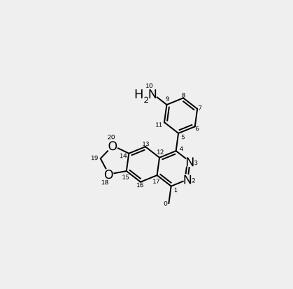 Cc1nnc(-c2cccc(N)c2)c2cc3c(cc12)OCO3